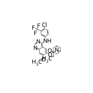 C=CC(=O)N1C2CC(Oc3cc4c(Nc5ccc(Cl)c(C(F)(F)F)c5)ncnc4cc3OC)CC1C2